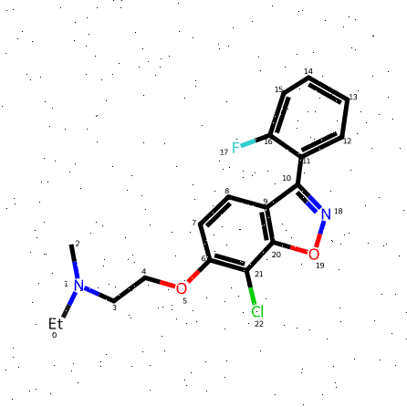 CCN(C)CCOc1ccc2c(-c3ccccc3F)noc2c1Cl